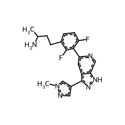 CC(N)CCc1ccc(F)c(-c2cc3c(-c4cnn(C)c4)n[nH]c3cn2)c1F